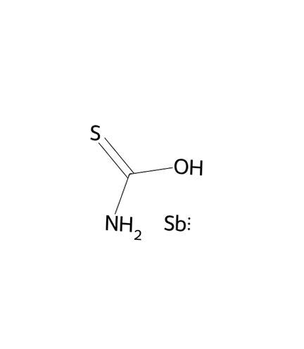 NC(O)=S.[Sb]